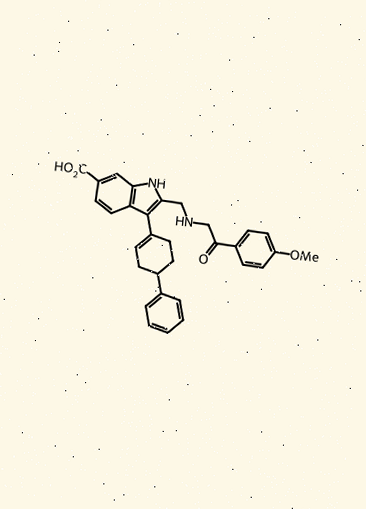 COc1ccc(C(=O)CNCc2[nH]c3cc(C(=O)O)ccc3c2C2=CCC(c3ccccc3)CC2)cc1